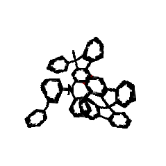 CC1(c2ccccc2)c2ccccc2-c2ccc(N(c3cccc(-c4ccccc4)c3)c3ccccc3-c3cccc4c3C3(c5ccccc5-c5ccccc53)c3ccccc3-4)cc21